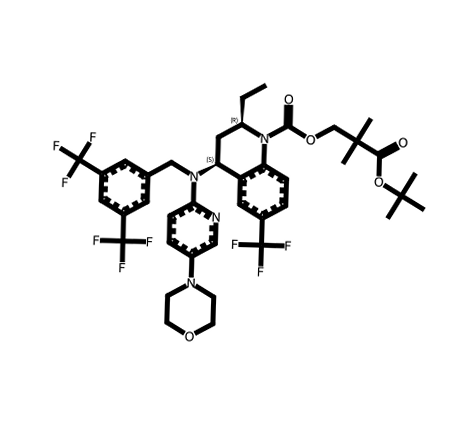 CC[C@@H]1C[C@H](N(Cc2cc(C(F)(F)F)cc(C(F)(F)F)c2)c2ccc(N3CCOCC3)cn2)c2cc(C(F)(F)F)ccc2N1C(=O)OCC(C)(C)C(=O)OC(C)(C)C